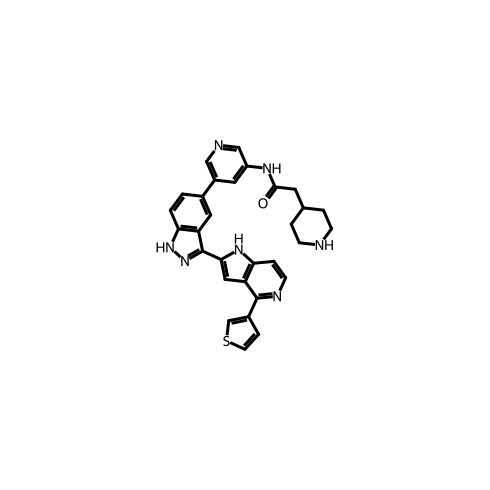 O=C(CC1CCNCC1)Nc1cncc(-c2ccc3[nH]nc(-c4cc5c(-c6ccsc6)nccc5[nH]4)c3c2)c1